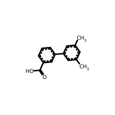 Cc1cc(C)cc(-c2cccc(C(=O)O)c2)c1